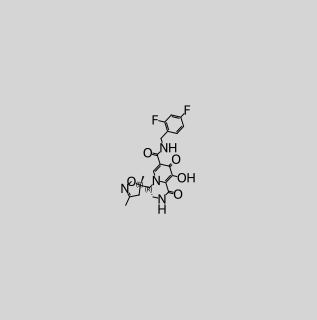 CC1=NO[C@](C)([C@H]2CNC(=O)c3c(O)c(=O)c(C(=O)NCc4ccc(F)cc4F)cn32)C1